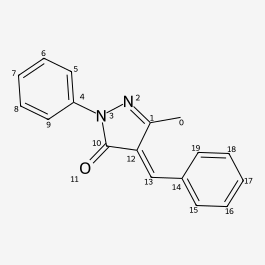 CC1=NN(c2ccccc2)C(=O)/C1=C/c1ccccc1